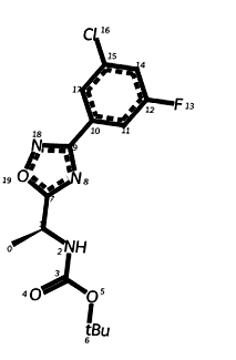 C[C@H](NC(=O)OC(C)(C)C)c1nc(-c2cc(F)cc(Cl)c2)no1